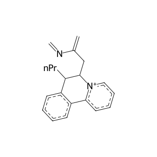 C=NC(=C)CC1C(CCC)c2ccccc2-c2cccc[n+]21